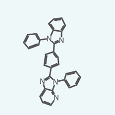 c1ccc(-n2c(-c3ccc(-c4nc5cccnc5n4-c4ccccc4)cc3)nc3ccccc32)cc1